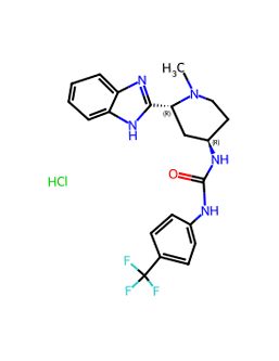 CN1CC[C@@H](NC(=O)Nc2ccc(C(F)(F)F)cc2)C[C@@H]1c1nc2ccccc2[nH]1.Cl